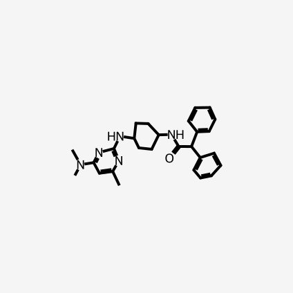 Cc1cc(N(C)C)nc(NC2CCC(NC(=O)C(c3ccccc3)c3ccccc3)CC2)n1